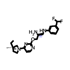 CC[C@]1(C)CCN(c2ccnc(OC/C(N)=C/Nc3cccc(C(F)F)c3)n2)C1